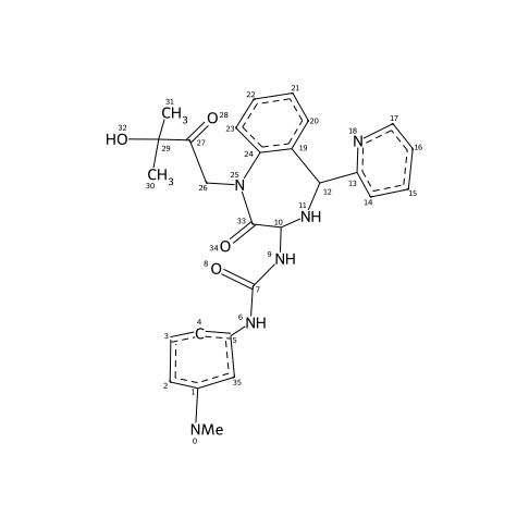 CNc1cccc(NC(=O)NC2NC(c3ccccn3)c3ccccc3N(CC(=O)C(C)(C)O)C2=O)c1